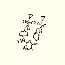 Cc1cnc(Nc2ccc(CNS(=O)(=O)C3CC3)cc2)nc1Nc1ccc(CNS(=O)(=O)C2CC2)cc1